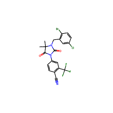 CC1(C)C(=O)N(c2ccc(C#N)c(C(F)(F)F)c2)C(=O)N1Cc1cc(Cl)ccc1Br